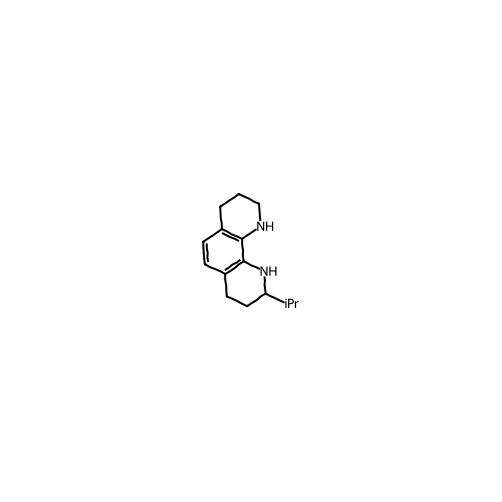 CC(C)C1CCc2ccc3c(c2N1)NCCC3